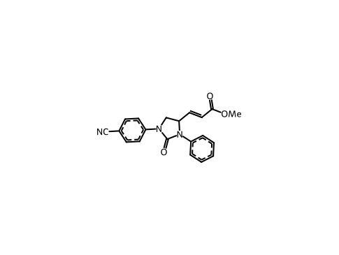 COC(=O)C=CC1CN(c2ccc(C#N)cc2)C(=O)N1c1ccccc1